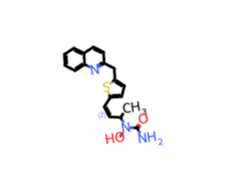 CC(/C=C\c1ccc(Cc2ccc3ccccc3n2)s1)N(O)C(N)=O